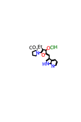 CCOC(=O)C1=C(N2CCCC2)OC(=Cc2c[nH]c3ncccc23)C1=O.Cl